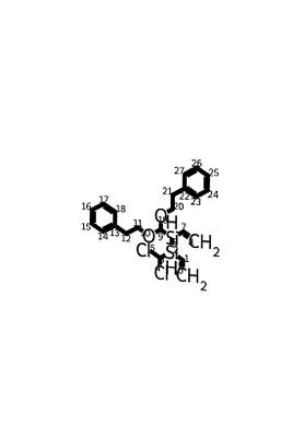 C=C[SiH](C(Cl)Cl)[SiH](C=C)C(OCCc1ccccc1)OCCc1ccccc1